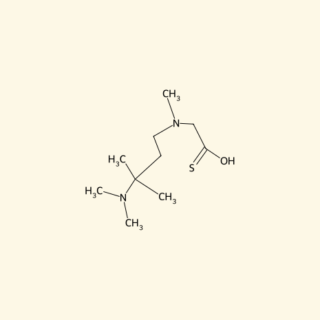 CN(CCC(C)(C)N(C)C)CC(O)=S